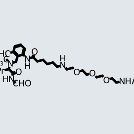 CCCC(C(=O)NC=O)N(C)Cc1c(C=O)cccc1NC(=O)CCCCCNCCOCCOCCOCCNC(C)=O